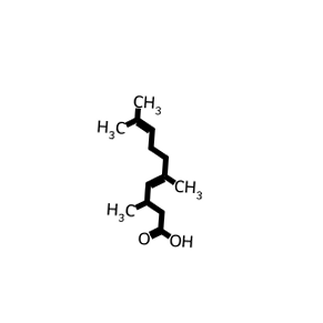 CC(C)=CCCC(C)=CC(C)CC(=O)O